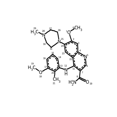 COc1cc2ncc(C(N)=O)c(Nc3cccc(OC)c3C)c2cc1N1CCN(C)CC1